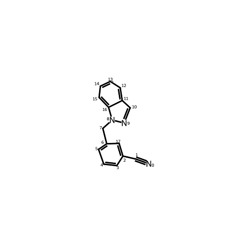 N#Cc1cccc(Cn2ncc3c[c]ccc32)c1